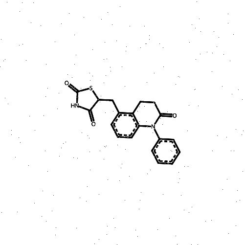 O=C1NC(=O)C(Cc2cccc3c2CCC(=O)N3c2ccccc2)S1